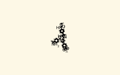 COC(=O)Nc1ccc(-c2cnc([C@@H]3C[C@H](C4CCN(S(C)(=O)=O)CC4)CN3C(=O)[C@H]3CC[C@H]([C@H](C)N)CC3)[nH]2)cc1